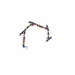 C=CCN(CCCC)C(=O)CCSCCCCSCCCN(CCCC)C(=O)CCSCCOCCOCCSCCCN(CCCC)C(=O)CCSCCCCSCCCN(CCCC)C(=O)CCSCCOCCOCCSCCCN